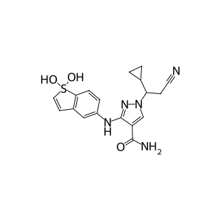 N#CCC(C1CC1)n1cc(C(N)=O)c(Nc2ccc3c(c2)C=CS3(O)O)n1